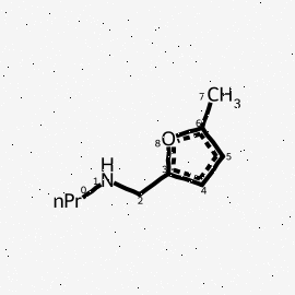 [CH2]CCNCc1ccc(C)o1